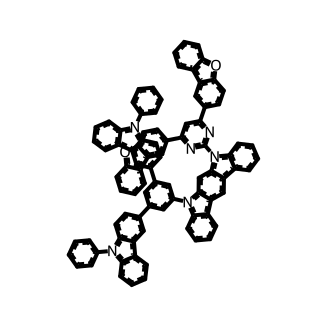 c1ccc(-n2c3ccccc3c3cc(-c4cc(-c5ccc6c(c5)c5ccccc5n6-c5ccccc5)cc(-n5c6ccccc6c6cc7c8ccccc8n(-c8nc(-c9ccc%10oc%11ccccc%11c%10c9)cc(-c9ccc%10oc%11ccccc%11c%10c9)n8)c7cc65)c4)ccc32)cc1